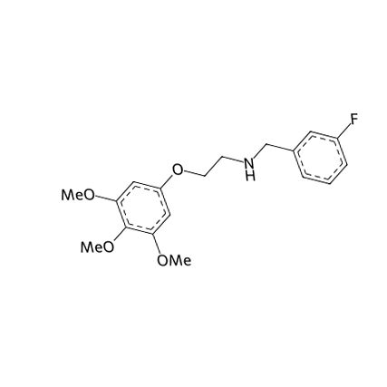 COc1cc(OCCNCc2cccc(F)c2)cc(OC)c1OC